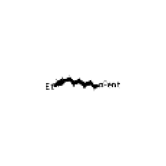 [CH2]CC#CCCCCCCCCCCC